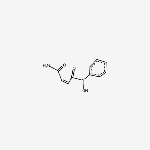 NC(=O)/C=C\C(=O)N(O)c1ccccc1